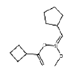 C=C(O[Si](=CC1CCCC1)OC)C1CCC1